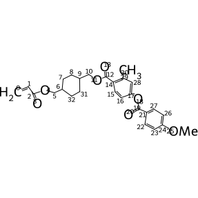 C=CC(=O)OCC1CCC(COC(=O)c2ccc(OC(=O)c3ccc(OC)cc3)cc2C)CC1